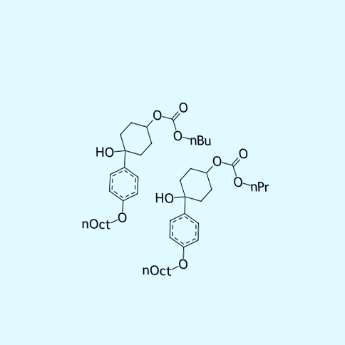 CCCCCCCCOc1ccc(C2(O)CCC(OC(=O)OCCC)CC2)cc1.CCCCCCCCOc1ccc(C2(O)CCC(OC(=O)OCCCC)CC2)cc1